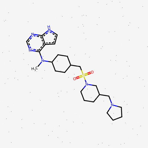 CN(c1ncnc2[nH]ccc12)C1CCC(CS(=O)(=O)N2CCCC(CN3CCCC3)C2)CC1